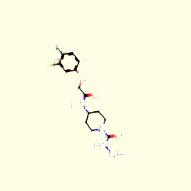 NNC(=O)N1CCC(NC(=O)COc2ccc(Cl)c(F)c2)CC1